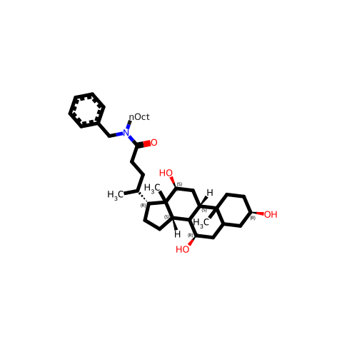 CCCCCCCCN(Cc1ccccc1)C(=O)CCC(C)[C@H]1CC[C@H]2C3[C@H](O)CC4C[C@H](O)CCC4(C)[C@H]3C[C@H](O)C12C